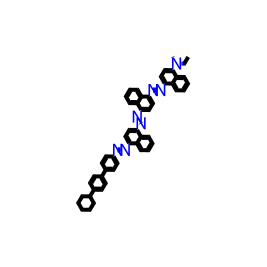 CCN(C)c1ccc(N=Nc2ccc(N=Nc3ccc(N=Nc4ccc(-c5ccc(C6CCCCC6)cc5)cc4)c4ccccc34)c3ccccc23)c2ccccc12